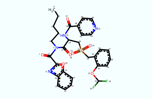 CCCCCN(C(=O)c1nc2ccccc2o1)C(=O)C(CS(=O)(=O)Cc1ccccc1OC(F)F)NC(=O)c1ccncc1